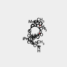 CCn1c(-c2cccnc2[C@H](C)OC)c2c3cc(ccc31)-c1csc(n1)C[C@H](NC(=O)[C@H](C(C)C)N(C)C(=O)N1CC[C@H]1CN(C)C(=O)[C@@H]1CN1)C(=O)N1CCC[C@H](N1)C(=O)OCC(C)(C)C2